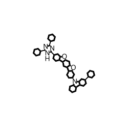 c1ccc(C2=NC(c3ccccc3)NC(c3ccc4c(c3)oc3cc5oc6cc(-n7c8ccccc8c8ccc(-c9ccccc9)cc87)ccc6c5cc34)=N2)cc1